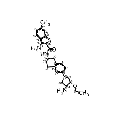 CCO[C@H]1CN(c2ccc3c(n2)CC[C@H](NC(=O)c2sc4nc(C)ccc4c2N)C3)C[C@H]1N